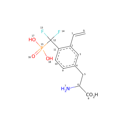 C=Cc1cc(CC(N)C(=O)O)ccc1C(F)(F)P(=O)(O)O